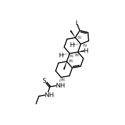 CCNC(=S)N[C@@H]1CC[C@@]2(C)C(=CC[C@@H]3[C@@H]2CC[C@]2(C)C(I)=CC[C@@H]32)C1